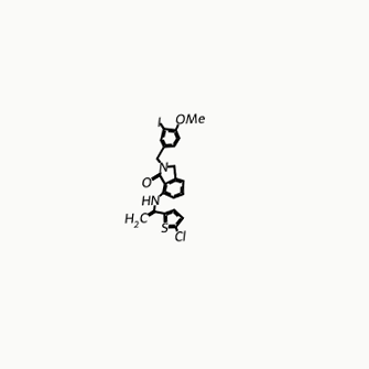 C=C(Nc1cccc2c1C(=O)N(Cc1ccc(OC)c(I)c1)C2)c1ccc(Cl)s1